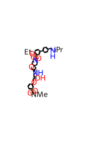 CCOc1ccc(-c2ccc(CNC(C)C)cc2)cc1S(=O)(=O)N1CCC2(CC1)C[C@@H](NC[C@H](O)COc1cccc(S(=O)(=O)NC)c1)CO2